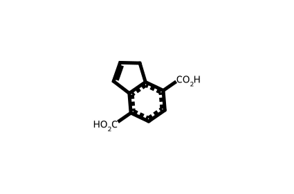 O=C(O)c1ccc(C(=O)O)c2c1C=CC2